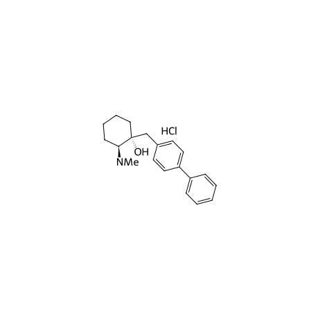 CN[C@H]1CCCC[C@@]1(O)Cc1ccc(-c2ccccc2)cc1.Cl